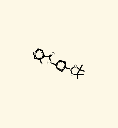 CC1(C)OB(c2ccc(NC(=O)c3ccncc3F)cc2)OC1(C)C